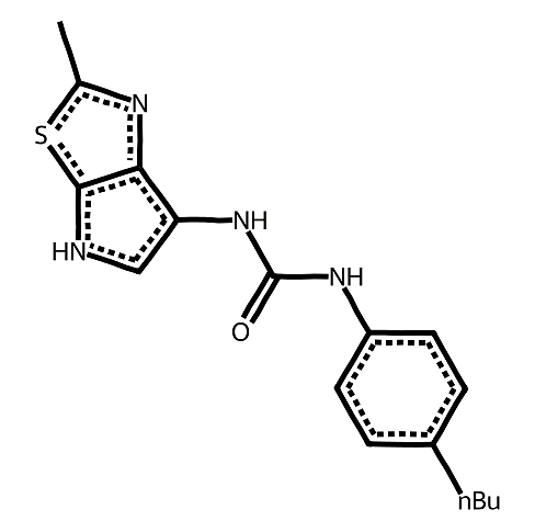 CCCCc1ccc(NC(=O)Nc2c[nH]c3sc(C)nc23)cc1